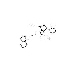 COc1ccc(-c2ccccc2C)c2[nH]c(C(=O)O)c(CCCOc3cccc4ccccc34)c12